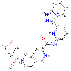 O=C(Nc1cccc(-c2nnc3n2CCCC3)n1)c1cc2c(cn1)CCN(C(=O)[C@@H]1CCOC1)C2